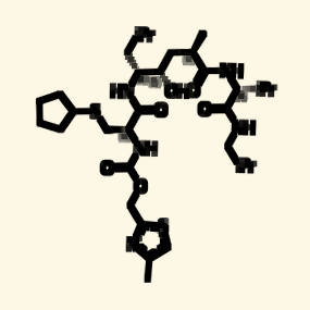 Cc1csc(COC(=O)N[C@@H](CSC2CCCC2)C(=O)N[C@H](CC(C)C)[C@@H](O)C[C@@H](C)C(=O)N[C@@H](C(=O)NCC(C)C)C(C)C)n1